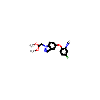 [C-]#[N+]c1cc(F)ccc1Oc1ccc2c(cnn2CC(OC)OC)c1